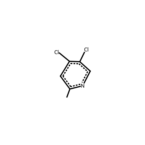 Cc1cc(Cl)c(Cl)cn1